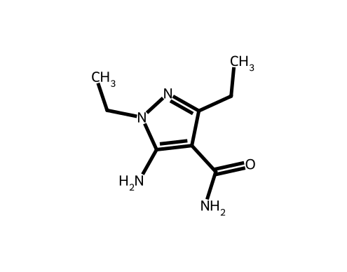 CCc1nn(CC)c(N)c1C(N)=O